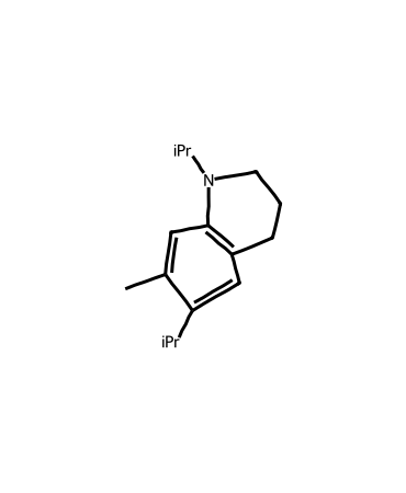 Cc1cc2c(cc1C(C)C)CCCN2C(C)C